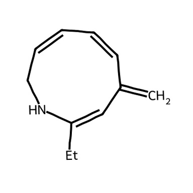 C=C1/C=C\C=C/CN/C(CC)=C\1